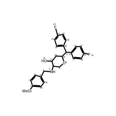 COc1ccc(CNC2COC(C(c3ccc(F)cc3)c3ccc(F)cc3)CC2O)cc1